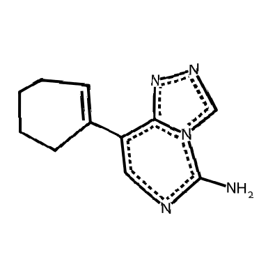 Nc1ncc(C2=CCCCC2)c2nncn12